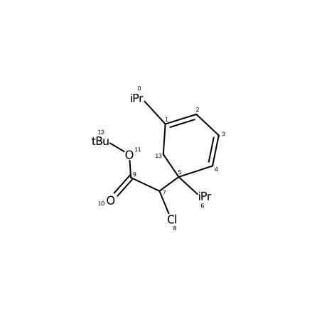 CC(C)C1=CC=CC(C(C)C)(C(Cl)C(=O)OC(C)(C)C)C1